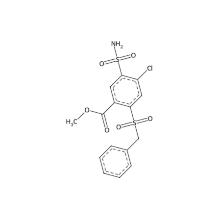 COC(=O)c1cc(S(N)(=O)=O)c(Cl)cc1S(=O)(=O)Cc1ccccc1